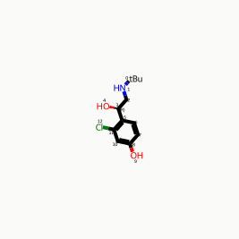 CC(C)(C)NC[C@H](O)c1ccc(O)cc1Cl